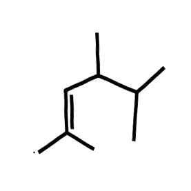 [CH2]C(C)=CC(C)C(C)C